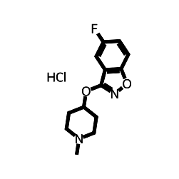 CN1CCC(Oc2noc3ccc(F)cc23)CC1.Cl